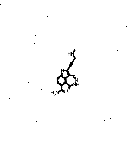 CNCC#CC1=C2C=NNC(=O)c3c(C(N)=O)ccc(c32)[N]1